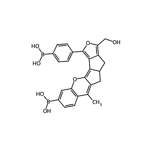 CC1=C2CC3Cc4c(CO)oc(-c5ccc(B(O)O)cc5)c4C3=C2Oc2cc(B(O)O)ccc21